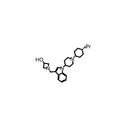 CC(C)[C@H]1CC[C@@H](N2CCC(n3cc(CN4CC(O)C4)c4ccccc43)CC2)CC1